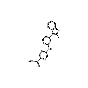 COC(=O)c1cnc(Nc2cc(-c3c(C)nc4ccccn34)ccn2)cn1